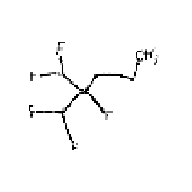 CCCC(F)([C](F)F)C(F)F